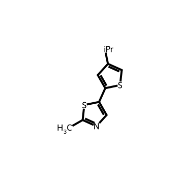 Cc1ncc(-c2cc(C(C)C)cs2)s1